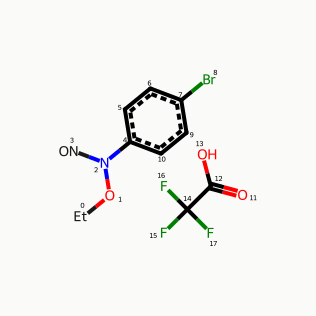 CCON(N=O)c1ccc(Br)cc1.O=C(O)C(F)(F)F